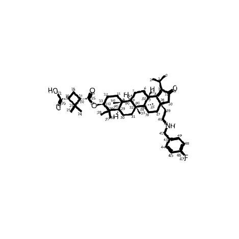 CC(C)C1=C2[C@H]3CC[C@@H]4[C@@]5(C)CC[C@H](OC(=O)[C@H]6C[C@@H](C(=O)O)C6(C)C)C(C)(C)[C@@H]5CC[C@@]4(C)[C@]3(C)CC[C@@]2(CCNCc2ccc(F)cc2)CC1=O